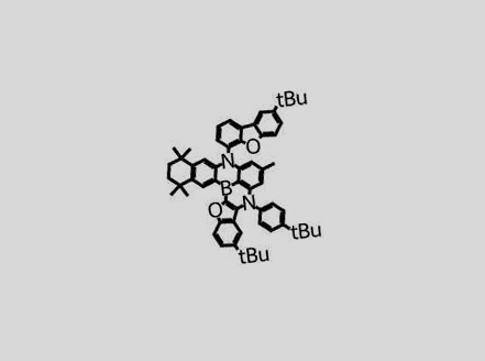 Cc1cc2c3c(c1)N(c1cccc4c1oc1ccc(C(C)(C)C)cc14)c1cc4c(cc1B3c1oc3ccc(C(C)(C)C)cc3c1N2c1ccc(C(C)(C)C)cc1)C(C)(C)CCC4(C)C